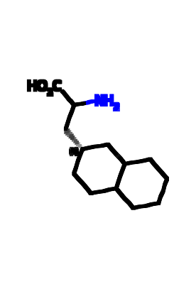 NC(C[C@H]1CCC2CCCCC2C1)C(=O)O